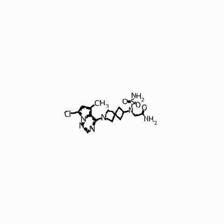 Cc1cc(Cl)n2ncnc(N3CC4(CC(N(CC(N)=O)S(N)(=O)=O)C4)C3)c12